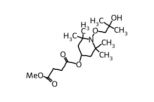 COC(=O)CCC(=O)OC1CC(C)(C)N(OCC(C)(C)O)C(C)(C)C1